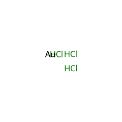 Cl.Cl.Cl.[Au]